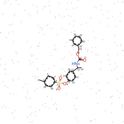 Cc1ccc(S(=O)(=O)Oc2ccc(C(C)NC(=O)OCc3ccccc3)cc2)cc1